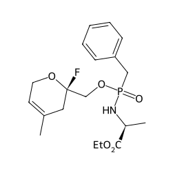 CCOC(=O)[C@H](C)NP(=O)(Cc1ccccc1)OC[C@]1(F)CC(C)=CCO1